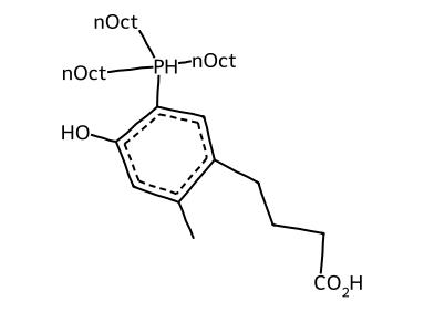 CCCCCCCC[PH](CCCCCCCC)(CCCCCCCC)c1cc(CCCC(=O)O)c(C)cc1O